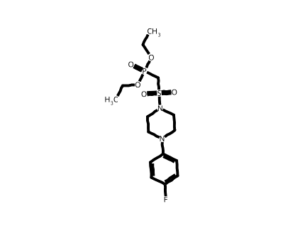 CCOP(=O)(CS(=O)(=O)N1CCN(c2ccc(F)cc2)CC1)OCC